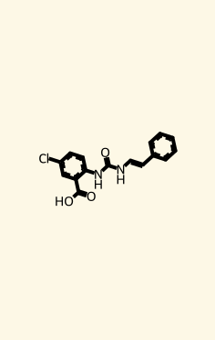 O=C(NC=Cc1ccccc1)Nc1ccc(Cl)cc1C(=O)O